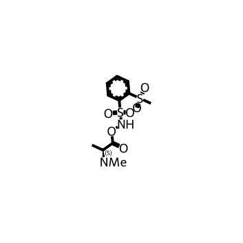 CN[C@@H](C)C(=O)ONS(=O)(=O)c1ccccc1S(C)(=O)=O